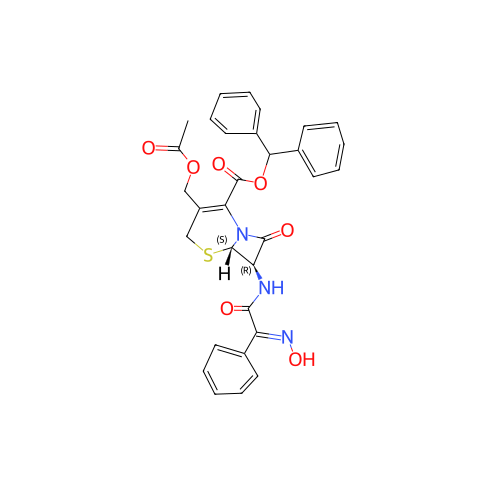 CC(=O)OCC1=C(C(=O)OC(c2ccccc2)c2ccccc2)N2C(=O)[C@@H](NC(=O)C(=NO)c3ccccc3)[C@@H]2SC1